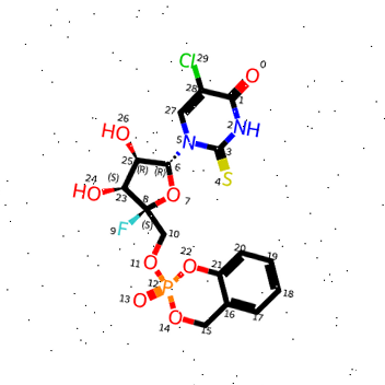 O=c1[nH]c(=S)n([C@@H]2O[C@](F)(COP3(=O)OCc4ccccc4O3)[C@@H](O)[C@H]2O)cc1Cl